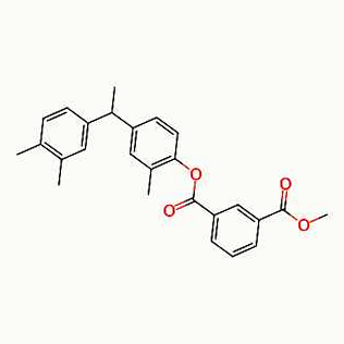 COC(=O)c1cccc(C(=O)Oc2ccc(C(C)c3ccc(C)c(C)c3)cc2C)c1